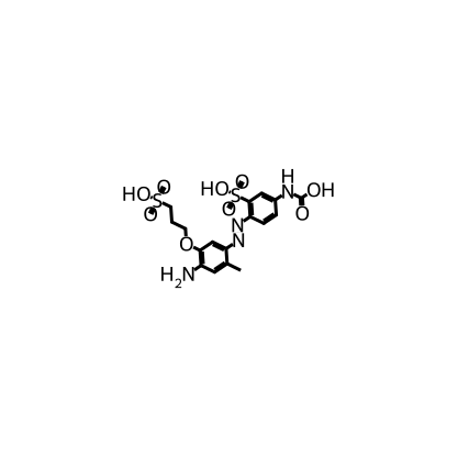 Cc1cc(N)c(OCCCS(=O)(=O)O)cc1N=Nc1ccc(NC(=O)O)cc1S(=O)(=O)O